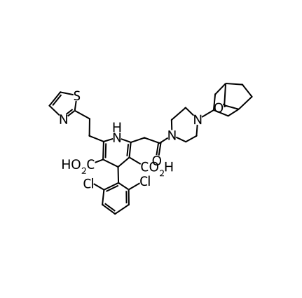 O=C(O)C1=C(CCc2nccs2)NC(CC(=O)N2CCN(C3CC4CCC(C3)C4=O)CC2)=C(C(=O)O)C1c1c(Cl)cccc1Cl